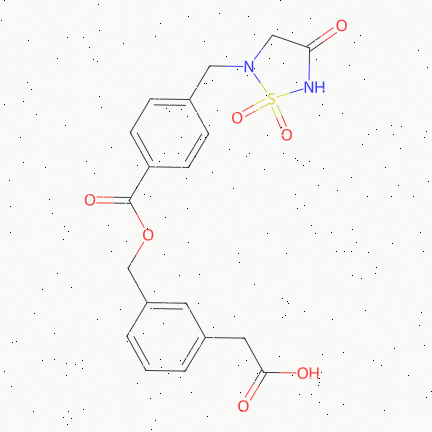 O=C(O)Cc1cccc(COC(=O)c2ccc(CN3CC(=O)NS3(=O)=O)cc2)c1